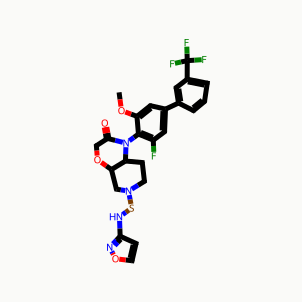 COc1cc(-c2cccc(C(F)(F)F)c2)cc(F)c1N1C(=O)COC2CN(SNc3ccon3)CCC21